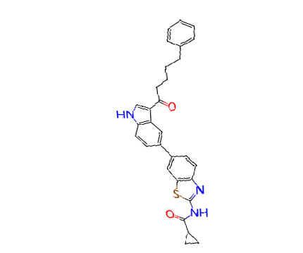 O=C(CCCCc1ccccc1)c1c[nH]c2ccc(-c3ccc4nc(NC(=O)C5CC5)sc4c3)cc12